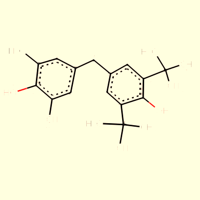 Cc1cc(Cc2cc(C(C)(C)C)c(O)c(C(C)(C)C)c2)cc(C)c1O